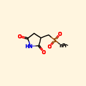 CC[CH]S(=O)(=O)CC1CC(=O)NC1=O